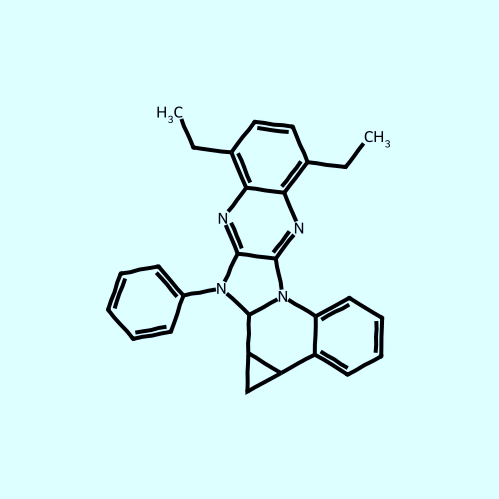 CCc1ccc(CC)c2nc3c(nc12)N(c1ccccc1)C1C2CC2c2ccccc2N31